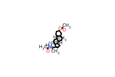 CC(=O)N[C@@H](C)C1=CC[C@H]2[C@@H]3CC=C4C[C@@H](OC(C)=O)CC[C@]4(C)[C@H]3CC[C@]12C